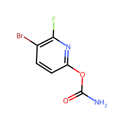 NC(=O)Oc1ccc(Br)c(F)n1